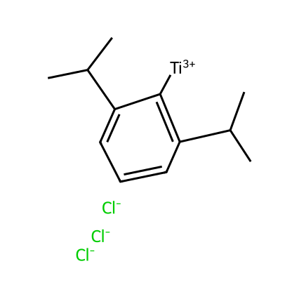 CC(C)c1cccc(C(C)C)[c]1[Ti+3].[Cl-].[Cl-].[Cl-]